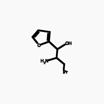 CC(C)CC(N)C(O)c1ccco1